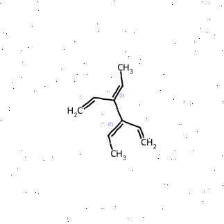 C=CC(=C\C)/C(C=C)=C/C